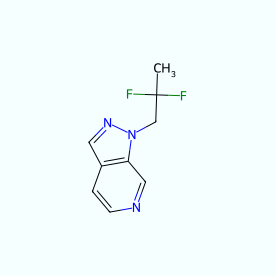 CC(F)(F)Cn1ncc2ccncc21